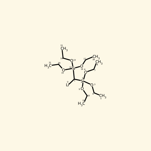 [Li][CH]([Si](OCC)(OCC)OCC)[Si](OCC)(OCC)OCC